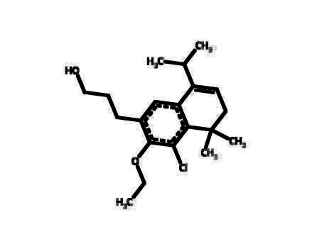 CCOc1c(CCCO)cc2c(c1Cl)C(C)(C)CC=C2C(C)C